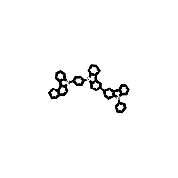 c1ccc(-n2c3ccccc3c3cc(-c4ccc5c(c4)c4ccccc4n5-c4ccc(-n5c6ccccc6c6c7ccccc7ccc65)cc4)ccc32)cc1